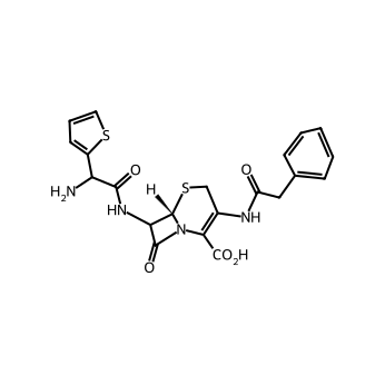 NC(C(=O)NC1C(=O)N2C(C(=O)O)=C(NC(=O)Cc3ccccc3)CS[C@@H]12)c1cccs1